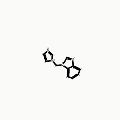 c1ccc2c(c1)ncn2Cn1ccnc1